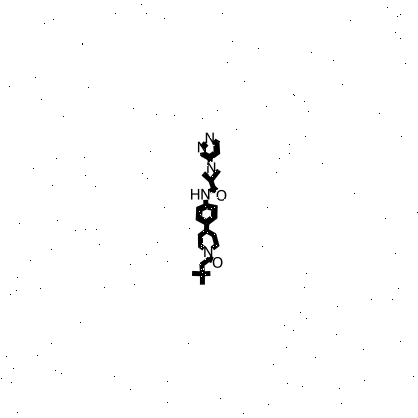 CC(C)(C)CC(=O)N1CCC(c2ccc(NC(=O)C3CN(c4ccnnc4)C3)cc2)CC1